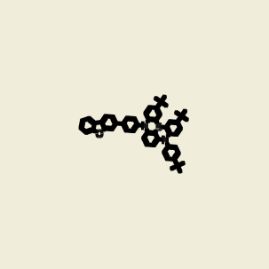 CC(C)(C)c1ccc(N2c3ccc(C(C)(C)C)cc3B3c4cc(C(C)(C)C)ccc4N(c4ccc(-c5ccc6c(c5)oc5ccccc56)cc4)c4cccc2c43)cc1